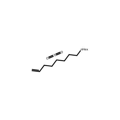 C=CCCCCCCCCCCCC.[O]=[Ti]=[O]